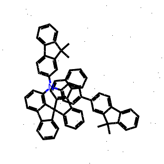 CC1(C)c2ccccc2-c2ccc(-c3ccc(N(c4ccc5c(c4)C(C)(C)c4ccccc4-5)c4cccc5c4C4(c6ccccc6-5)c5ccccc5-c5c4ccc4ccccc54)cc3)cc21